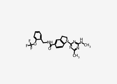 CNc1nc(C)nc(N2CCc3cc(C(=O)NCc4ccccc4OC(F)(F)F)ccc32)n1